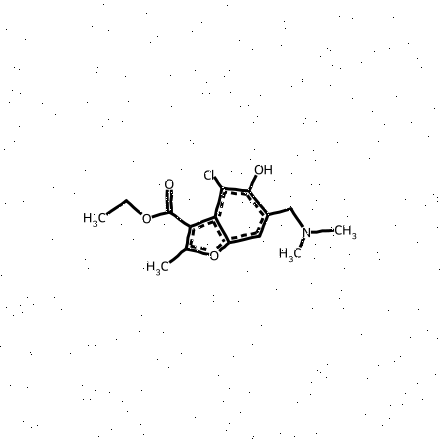 CCOC(=O)c1c(C)oc2cc(CN(C)C)c(O)c(Cl)c12